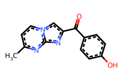 Cc1ccn2cc(C(=O)c3ccc(O)cc3)nc2n1